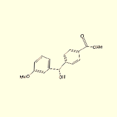 COC(=O)c1ccc(C(O)c2cccc(OC)c2)cc1